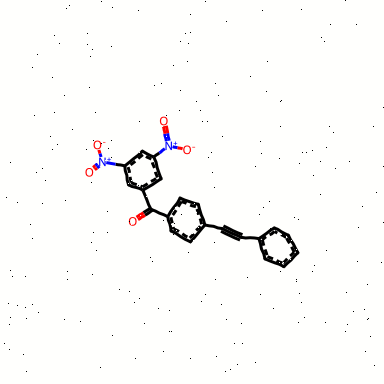 O=C(c1ccc(C#Cc2ccccc2)cc1)c1cc([N+](=O)[O-])cc([N+](=O)[O-])c1